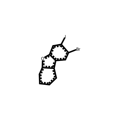 Brc1cc2c(cc1I)oc1ccccc12